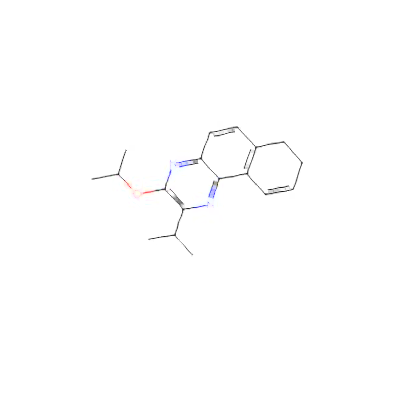 CC(C)Oc1nc2ccc3c(c2nc1C(C)C)C=CCC3